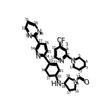 O=C([C@H]1CCCN(c2cc(C(F)(F)F)ccn2)C1)N1CC[C@H](NC2CC=C(c3ccc(-c4ncccn4)cn3)CC2)C1